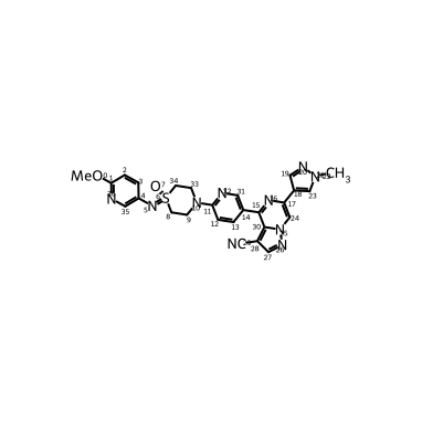 COc1ccc(N=S2(=O)CCN(c3ccc(-c4nc(-c5cnn(C)c5)cn5ncc(C#N)c45)cn3)CC2)cn1